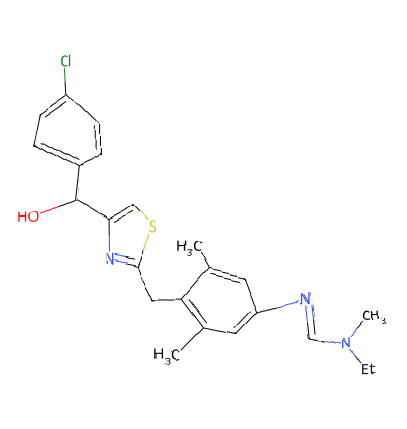 CCN(C)C=Nc1cc(C)c(Cc2nc(C(O)c3ccc(Cl)cc3)cs2)c(C)c1